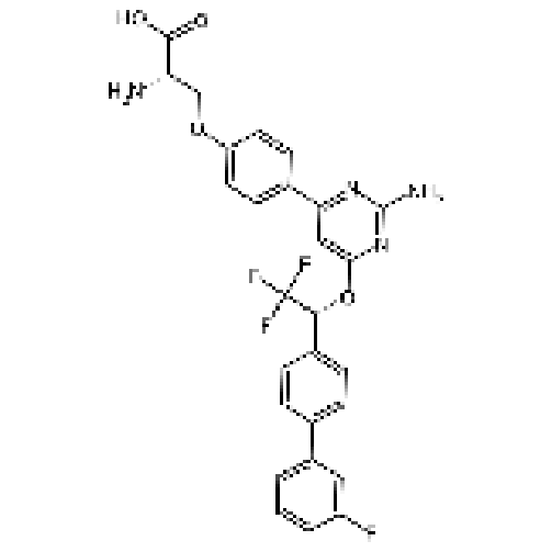 Nc1nc(O[C@H](c2ccc(-c3cccc(F)c3)cc2)C(F)(F)F)cc(-c2ccc(OC[C@H](N)C(=O)O)cc2)n1